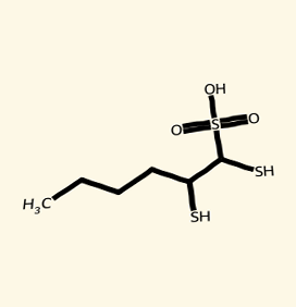 CCCCC(S)C(S)S(=O)(=O)O